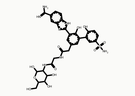 N=C(N)c1ccc2[nH]c(-c3cc(CC(=O)NCC(=O)NC4C(O)OC(CO)C(O)C4O)cc(-c4cc(S(N)(=O)=O)ccc4O)c3O)nc2c1